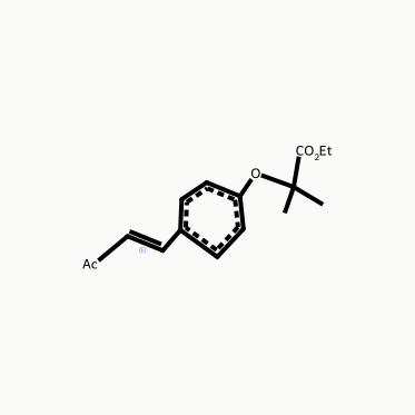 CCOC(=O)C(C)(C)Oc1ccc(/C=C/C(C)=O)cc1